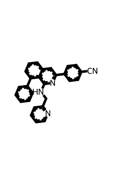 N#Cc1ccc(-c2cc3cccc(-c4ccccc4)c3c(NCc3ccccn3)n2)cc1